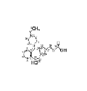 CCN1CCC(=C2c3ccccc3CCc3sc(C=CC(=O)O)cc32)CC1.Cl